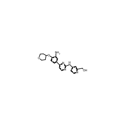 Nc1cc(-c2ccnc(Nc3ccnc(CO)c3)n2)ccc1OC1CCOCC1